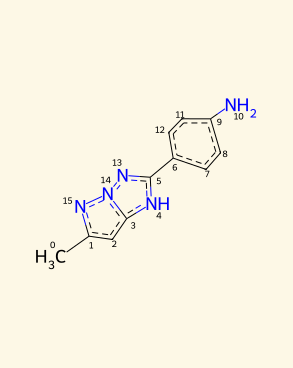 Cc1cc2[nH]c(-c3ccc(N)cc3)nn2n1